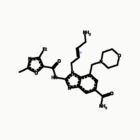 CCc1nc(C)oc1C(=O)Nc1nc2cc(C(N)=O)cc(CN3CCOCC3)c2n1C/C=C/CN